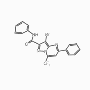 O=C(Nc1ccccc1)c1nn2c(C(F)(F)F)cc(-c3ccccc3)nc2c1Br